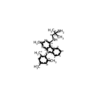 Cc1cc(C)c(-n2c3ccccc3c3c(NCC(C)(C)N)nc(C)nc32)c(C)c1